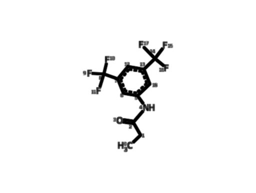 CCC(=O)Nc1cc(C(F)(F)F)cc(C(F)(F)F)c1